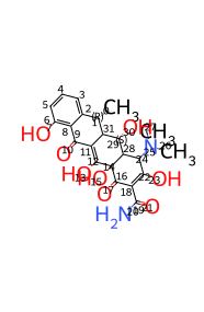 C[C@H]1c2cccc(O)c2C(=O)C2=C(O)C3(O)C(=O)C(C(N)=O)=C(O)C(N(C)C)C3[C@@H](O)C21